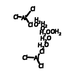 O.O.O.O.O.O.[Cl][Al]([Cl])[Cl].[Cl][Al]([Cl])[Cl]